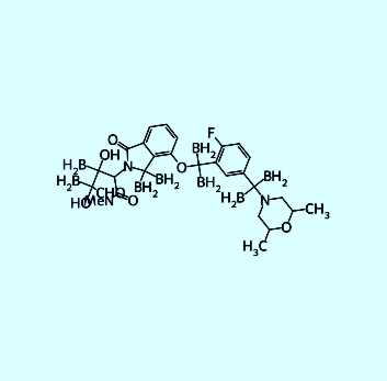 BC(B)(Oc1cccc2c1C(B)(B)N(C(C(=O)NC)C(B)(O)C(B)(O)C=O)C2=O)c1cc(C(B)(B)N2CC(C)OC(C)C2)ccc1F